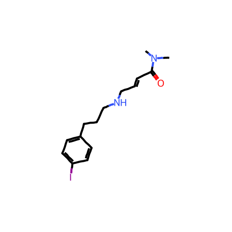 CN(C)C(=O)/C=C/CNCCCc1ccc(I)cc1